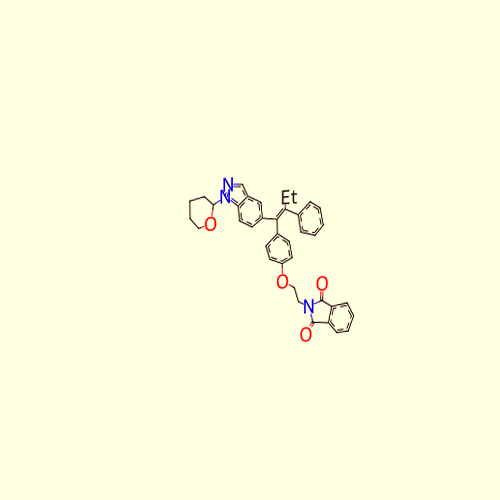 CCC(=C(c1ccc(OCCN2C(=O)c3ccccc3C2=O)cc1)c1ccc2c(cnn2C2CCCCO2)c1)c1ccccc1